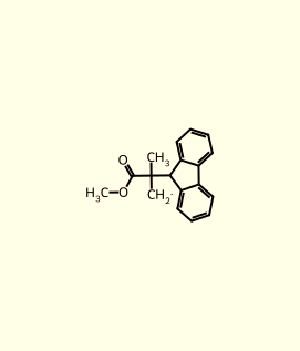 [CH2]C(C)(C(=O)OC)C1c2ccccc2-c2ccccc21